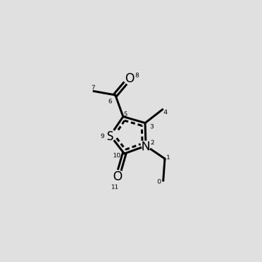 CCn1c(C)c(C(C)=O)sc1=O